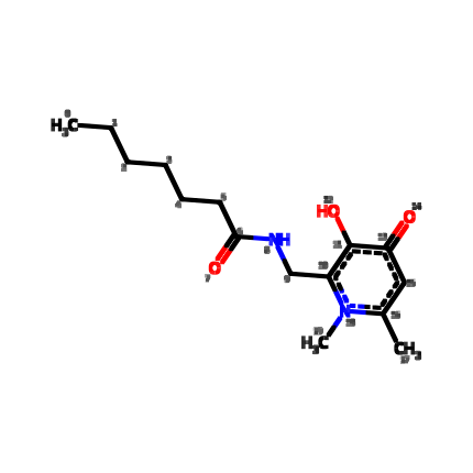 CCCCCCC(=O)NCc1c(O)c(=O)cc(C)n1C